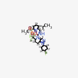 CCC[C@H](NC(=O)N1c2cnn(-c3ccc(F)cc3)c2CCC1C(F)(F)F)c1cccc(S(C)(=O)=O)n1